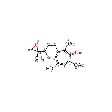 CC(=O)Oc1cc(C)c2c(c(OC(C)=O)c1=O)CCC(C1(C)CO1)C2